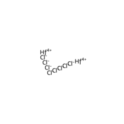 [Cl-].[Cl-].[Cl-].[Cl-].[Cl-].[Cl-].[Cl-].[Cl-].[Hf+4].[Hf+4]